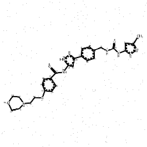 Cc1cc(NC(=O)NCc2ccc(-c3cc(NC(=O)c4ccc(OCCN5CCOCC5)cc4)[nH]n3)cc2)no1